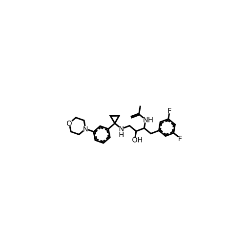 C=C(C)NC(Cc1cc(F)cc(F)c1)C(O)CNC1(c2cccc(N3CCOCC3)c2)CC1